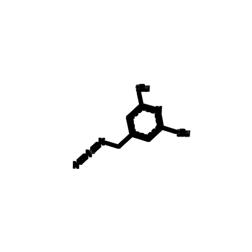 CC(C)(C)c1cc(CN=[N+]=[N-])cc(C(C)(C)C)n1